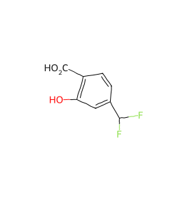 O=C(O)c1ccc(C(F)F)cc1O